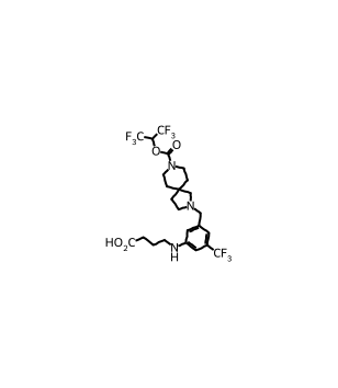 O=C(O)CCCNc1cc(CN2CCC3(CCN(C(=O)OC(C(F)(F)F)C(F)(F)F)CC3)C2)cc(C(F)(F)F)c1